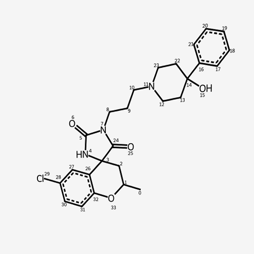 CC1CC2(NC(=O)N(CCCN3CCC(O)(c4ccccc4)CC3)C2=O)c2cc(Cl)ccc2O1